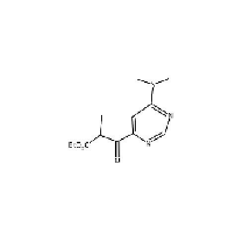 CCOC(=O)C(C)C(=O)c1cc(N(C)C)ncn1